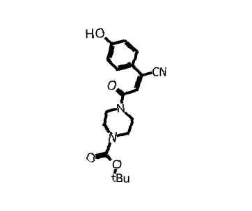 CC(C)(C)OC(=O)N1CCN(C(=O)C=C(C#N)c2ccc(O)cc2)CC1